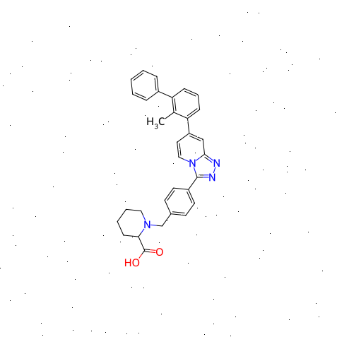 Cc1c(-c2ccccc2)cccc1-c1ccn2c(-c3ccc(CN4CCCCC4C(=O)O)cc3)nnc2c1